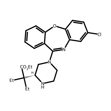 CCOC(=O)C(CC)(CC)[C@@H]1CN(C2=Nc3cc(Cl)ccc3Oc3ccccc32)CCN1